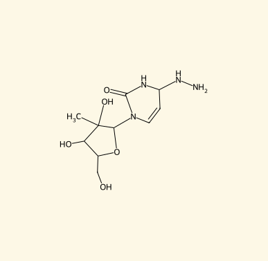 CC1(O)C(O)C(CO)OC1N1C=CC(NN)NC1=O